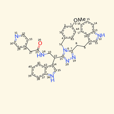 COc1ccc(Cn2c(CCc3c[nH]c4ccccc34)nnc2C(CNC(=O)Cc2ccncc2)c2c[nH]c3ccccc23)cc1